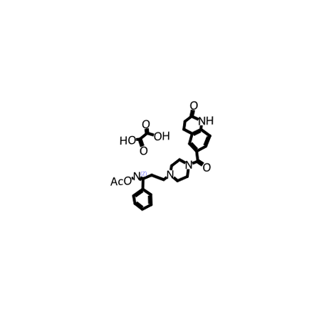 CC(=O)O/N=C(/CCN1CCN(C(=O)c2ccc3c(c2)CCC(=O)N3)CC1)c1ccccc1.O=C(O)C(=O)O